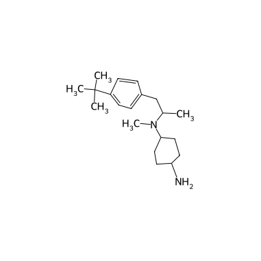 CC(Cc1ccc(C(C)(C)C)cc1)N(C)C1CCC(N)CC1